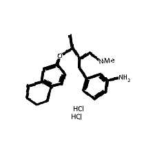 CNCC(Cc1cccc(N)c1)C(C)Oc1ccc2c(c1)CCCC2.Cl.Cl